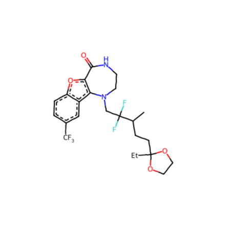 CCC1(CCC(C)C(F)(F)CN2CCNC(=O)c3oc4ccc(C(F)(F)F)cc4c32)OCCO1